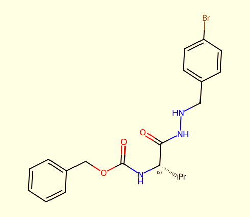 CC(C)[C@H](NC(=O)OCc1ccccc1)C(=O)NNCc1ccc(Br)cc1